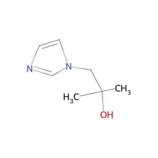 CC(C)(O)Cn1ccnc1